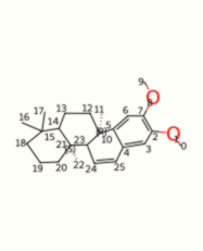 COc1cc2c(cc1OC)[C@]1(C)CCC3C(C)(C)CCC[C@]3(C)C1C=C2